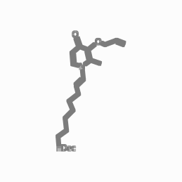 C=CCOc1c(C)n(C=CCCCCCCCCCCCCCCCC)ccc1=O